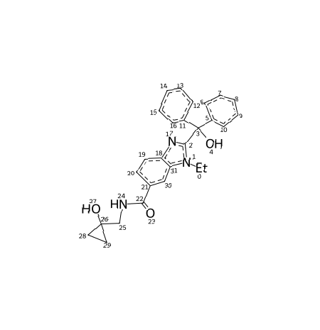 CCn1c(C(O)(c2ccccc2)c2ccccc2)nc2ccc(C(=O)NCC3(O)CC3)cc21